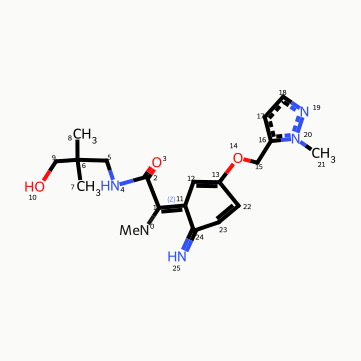 CN/C(C(=O)NCC(C)(C)CO)=C1/C=C(OCc2ccnn2C)C=CC1=N